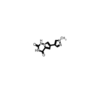 Cn1cc(-c2cc3c(=O)[nH]c(=O)[nH]n3c2)cn1